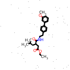 CCOC(=O)CC(CC(C)C)C(=O)NCCc1ccc(-c2cccc(OC)c2)cc1